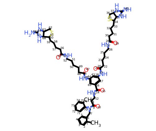 Cc1ccccc1CN(C(=O)CCNC(=O)c1cc(NC(=O)CCCCCNC(=O)CCCCC2SCC3NC(=N)NC32)cc(NC(=O)CCCCCNC(=O)CCCCC2SCC3NC(N)NC32)c1)c1ccccc1C